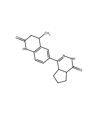 CC1CC(=O)Nc2ccc(C3=NNC(=O)C4CCCC34)cc21